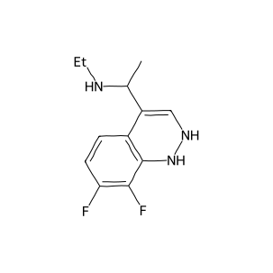 CCNC(C)C1=CNNc2c1ccc(F)c2F